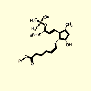 CCCCC[C@@H](/C=C/[C@@H]1[C@@H](C/C=C\CCCC(=O)OC(C)C)[C@@H](O)C[C@H]1C)O[Si](C)(C)C(C)(C)C